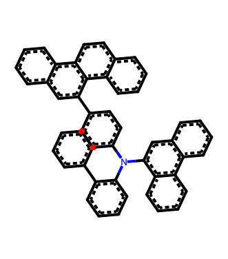 c1ccc(-c2ccccc2N(c2ccc(-c3cc4ccccc4c4ccc5ccccc5c34)cc2)c2cc3ccccc3c3ccccc23)cc1